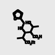 CCOC(=O)C(C)C(NCc1ccco1)C(C(=O)O)C(C)O